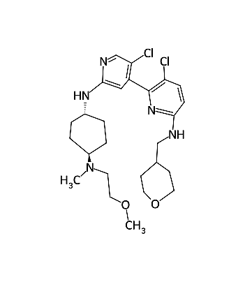 COCCN(C)[C@H]1CC[C@H](Nc2cc(-c3nc(NCC4CCOCC4)ccc3Cl)c(Cl)cn2)CC1